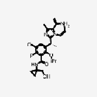 C=C(N)c1c(C)nc([C@H](C)c2cc(Cl)c(F)c(C(=O)NC3(CO)CC3)c2OC(C)C)n1/C=C\C